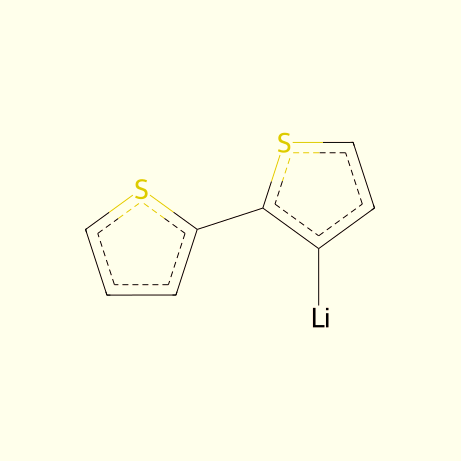 [Li][c]1ccsc1-c1cccs1